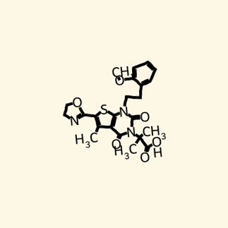 COc1ccccc1CCn1c(=O)n(C(C)(C)C(=O)O)c(=O)c2c(C)c(C3=NCCO3)sc21